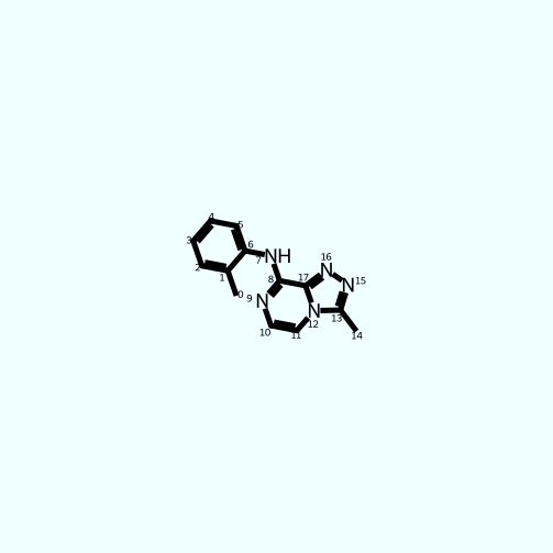 Cc1ccccc1Nc1nccn2c(C)nnc12